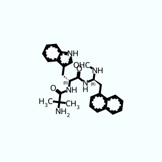 CC(C)(N)C(=O)N[C@H](Cc1c[nH]c2ccccc12)C(=O)N[C@H](Cc1cccc2ccccc12)NC=O